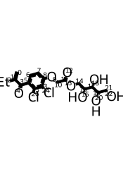 C=C(CC)C(=O)c1ccc(OCC(=O)OC[C@H](O)[C@H](O)[C@H](O)CO)c(Cl)c1Cl